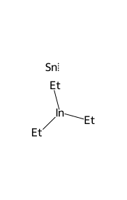 C[CH2][In]([CH2]C)[CH2]C.[Sn]